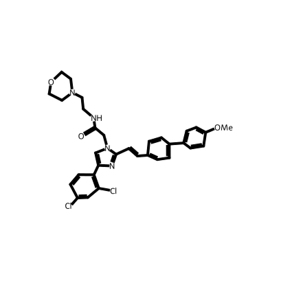 COc1ccc(-c2ccc(C=Cc3nc(-c4ccc(Cl)cc4Cl)cn3CC(=O)NCCN3CCOCC3)cc2)cc1